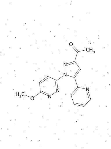 COc1ccc(-n2nc(C(C)=O)cc2-c2ccccn2)nn1